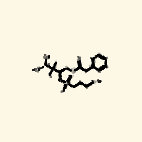 CC(=O)NCCCS(=O)(=O)OC(COC(=O)Cc1ccccc1)C(C)(C)[C@@H](O)C(=O)O